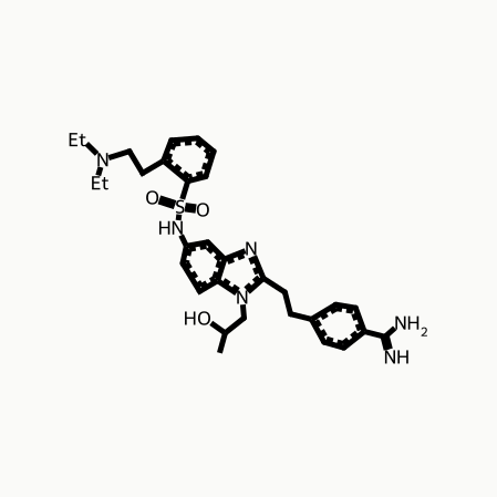 CCN(CC)CCc1ccccc1S(=O)(=O)Nc1ccc2c(c1)nc(CCc1ccc(C(=N)N)cc1)n2CC(C)O